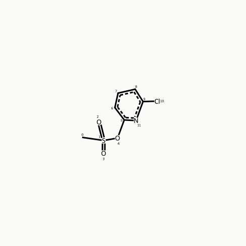 CS(=O)(=O)Oc1cccc(Cl)n1